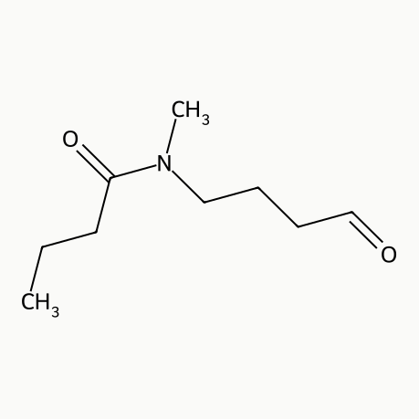 CCCC(=O)N(C)CCCC=O